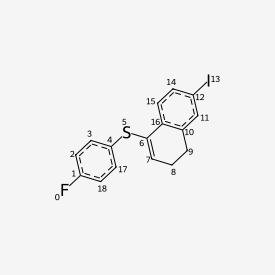 Fc1ccc(SC2=CCCc3cc(I)ccc32)cc1